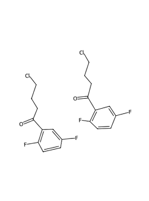 O=C(CCCCl)c1cc(F)ccc1F.O=C(CCCCl)c1cc(F)ccc1F